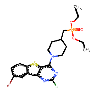 CCOP(=O)(CC1CCN(c2nc(Cl)nc3c2sc2ccc(Br)cc23)CC1)OCC